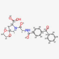 O=C(NCC(=O)N1CC2(CC1C(=O)O)OCCO2)c1ccc(C(=O)c2ccccc2)cc1